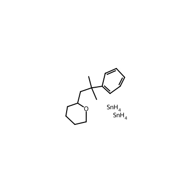 CC(C)(CC1CCCCO1)c1ccccc1.[SnH4].[SnH4]